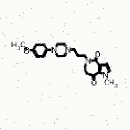 COc1ccc(N2CCN(CCCN3CCC(=O)c4c(ccn4C)C3=O)CC2)cc1